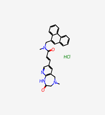 CN1CC(=O)Nc2ncc(/C=C/C(=O)N(C)Cc3cc4ccccc4c4ccccc34)cc2C1.Cl